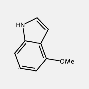 COc1c[c]cc2[nH]ccc12